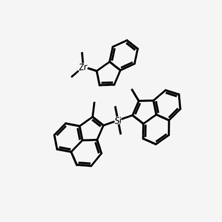 CC1=C([Si](C)(C)C2=C(C)c3cccc4cccc2c34)c2cccc3cccc1c23.[CH3][Zr]([CH3])[CH]1C=Cc2ccccc21